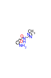 Cc1ccnc(CCNC(=O)c2cc3cccc(N)c3o2)n1